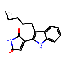 CCCCCc1c(C2=CC(=O)NC2=O)[nH]c2ccccc12